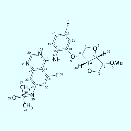 CO[C@@H]1CO[C@H]2[C@@H]1OC[C@H]2Oc1cc(F)ccc1Nc1ncnc2cc(N=S(C)(C)=O)cc(F)c12